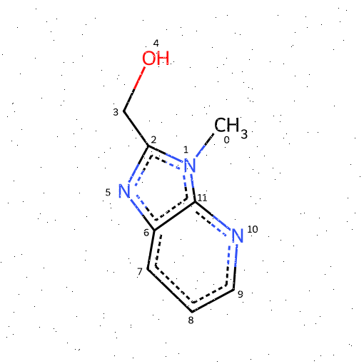 Cn1c(CO)nc2cccnc21